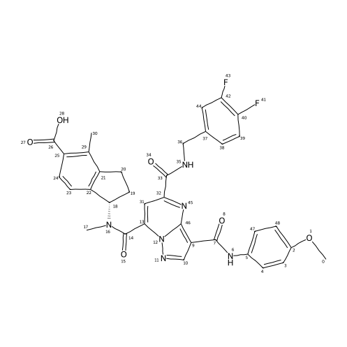 COc1ccc(NC(=O)c2cnn3c(C(=O)N(C)[C@H]4CCc5c4ccc(C(=O)O)c5C)cc(C(=O)NCc4ccc(F)c(F)c4)nc23)cc1